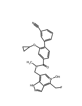 CN(Cc1c[n+](O)c(CF)c2cn[nH]c12)C(=O)c1ccc(-c2cccc(C#N)c2)c(OC2CC2)c1